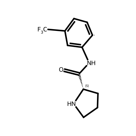 O=C(Nc1[c]ccc(C(F)(F)F)c1)[C@@H]1CCCN1